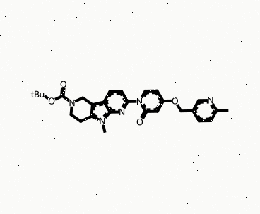 Cc1ccc(COc2ccn(-c3ccc4c5c(n(C)c4n3)CCN(C(=O)OC(C)(C)C)C5)c(=O)c2)cn1